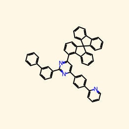 c1ccc(-c2cccc(-c3nc(-c4ccc(-c5ccccn5)cc4)cc(-c4cccc5c4-c4ccccc4C54c5ccccc5-c5ccccc54)n3)c2)cc1